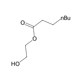 CCCCCCC(=O)OCCO